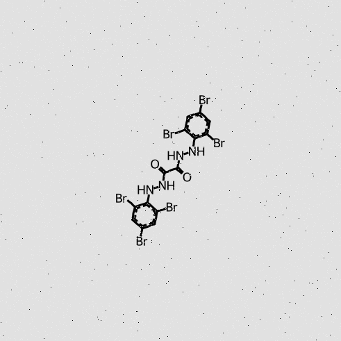 O=C(NNc1c(Br)cc(Br)cc1Br)C(=O)NNc1c(Br)cc(Br)cc1Br